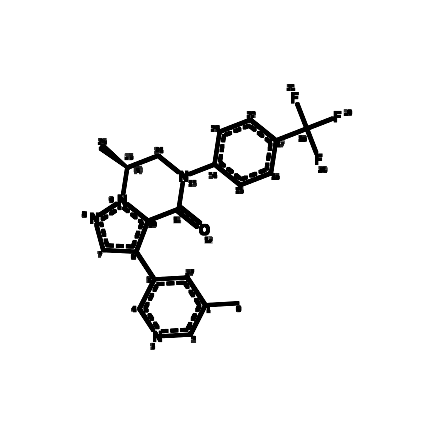 Cc1cncc(-c2cnn3c2C(=O)N(c2ccc(C(F)(F)F)cc2)C[C@@H]3C)c1